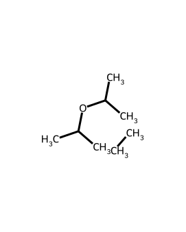 CC.CC(C)OC(C)C